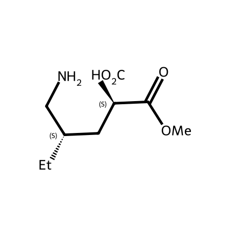 CC[C@H](CN)C[C@@H](C(=O)O)C(=O)OC